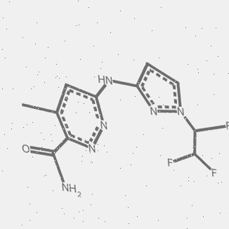 Cc1cc(Nc2ccn(C(F)C(F)F)n2)nnc1C(N)=O